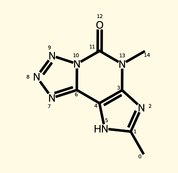 Cc1nc2c([nH]1)c1nnnn1c(=O)n2C